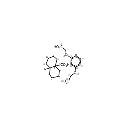 CC12CCCCC1(C(=O)O)CCCC2.O=C(O)COc1cccc(OCC(=O)O)c1